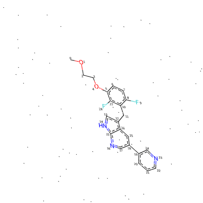 COCCOc1ccc(F)c(Cc2c[nH]c3ncc(-c4cccnc4)cc23)c1F